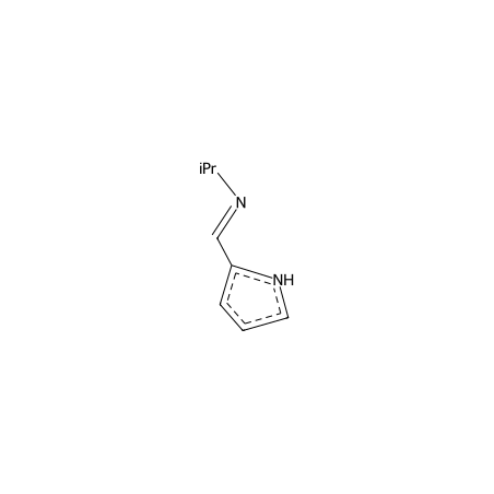 CC(C)N=Cc1ccc[nH]1